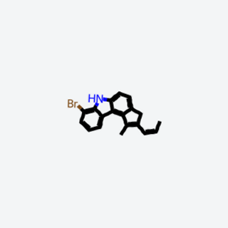 C/C=C\C1=C(C)c2c(ccc3[nH]c4c(Br)cccc4c23)C1